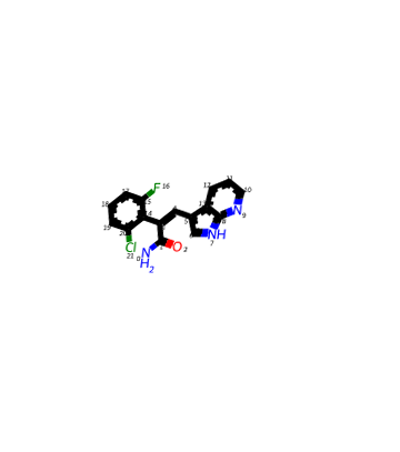 NC(=O)/C(=C\c1c[nH]c2ncccc12)c1c(F)cccc1Cl